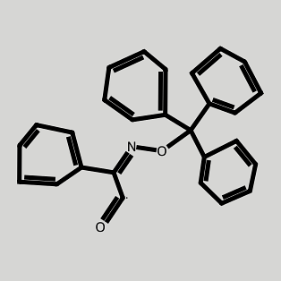 O=[C]C(=NOC(c1ccccc1)(c1ccccc1)c1ccccc1)c1ccccc1